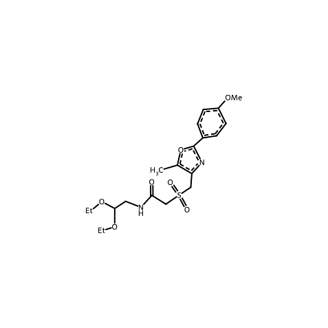 CCOC(CNC(=O)CS(=O)(=O)Cc1nc(-c2ccc(OC)cc2)oc1C)OCC